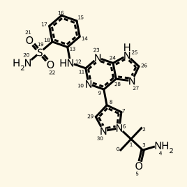 CC(C)(C(N)=O)n1cc(-c2nc(Nc3ccccc3S(N)(=O)=O)nc3[nH]cnc23)cn1